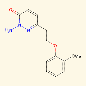 COc1ccccc1OCCc1ccc(=O)n(N)n1